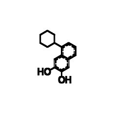 Oc1cc2cccc(C3CCCCC3)c2cc1O